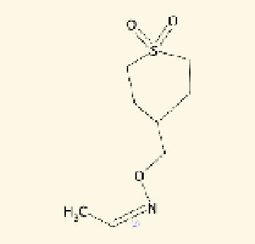 C/C=N\OCC1CCS(=O)(=O)CC1